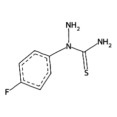 NC(=S)N(N)c1ccc(F)cc1